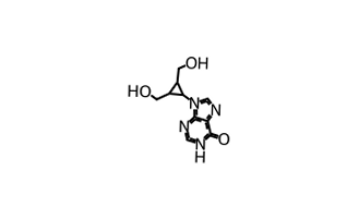 O=c1[nH]cnc2c1ncn2C1C(CO)C1CO